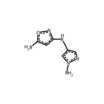 Bc1cc(Bc2cnn(B)c2)no1